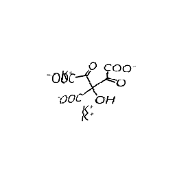 O=C([O-])C(=O)C(O)(C(=O)[O-])C(=O)C(=O)[O-].[K+].[K+].[K+]